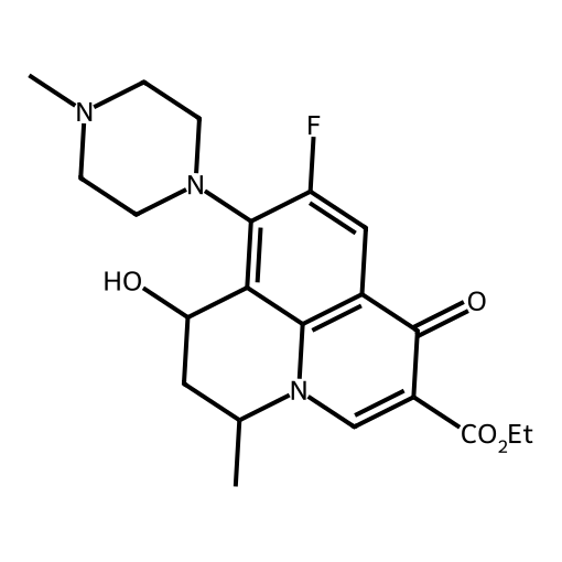 CCOC(=O)c1cn2c3c(c(N4CCN(C)CC4)c(F)cc3c1=O)C(O)CC2C